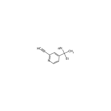 C#Cc1cc(C(C)(CC)CCC)ccn1